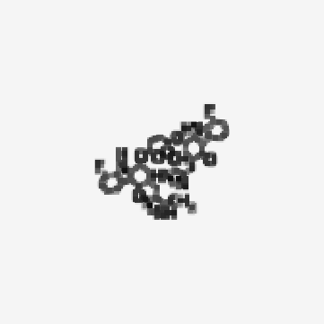 Cc1[nH]cnc1CC1CC(OC(=O)/C=C\C(=O)OC2CC(Cc3nc[nH]c3C)C(=O)c3c2[nH]c2c(F)cccc32)c2[nH]c3c(F)cccc3c2C1=O